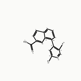 O=C(O)c1ccc2cccc(-c3cc(Cl)ncc3F)c2c1